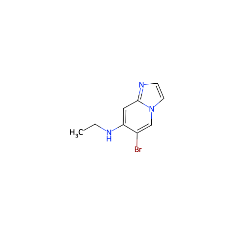 CCNc1cc2nccn2cc1Br